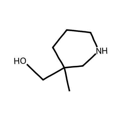 CC1(CO)CCCNC1